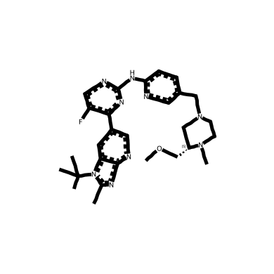 COC[C@@H]1CN(Cc2ccc(Nc3ncc(F)c(-c4cnc5nc(C)n(C(C)(C)C)c5c4)n3)nc2)CCN1C